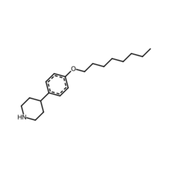 CCCCCCCCOc1ccc(C2CCNCC2)cc1